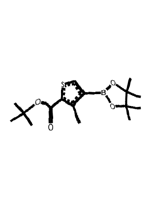 Cc1c(B2OC(C)(C)C(C)(C)O2)csc1C(=O)OC(C)(C)C